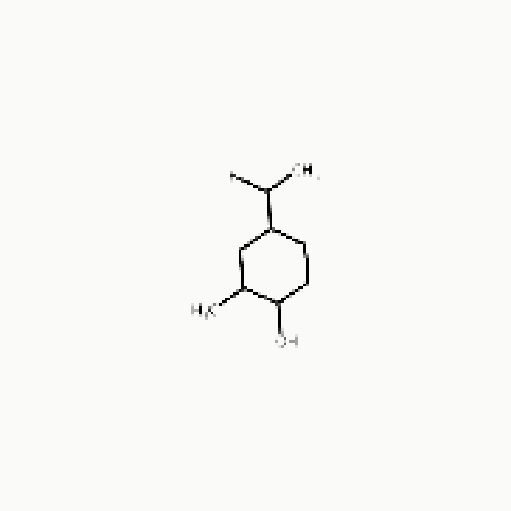 CC(F)C1CCC(O)C(C)C1